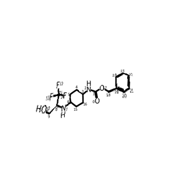 O=C(NC1CCC(N[C@@H](CO)C(F)(F)F)CC1)OCc1ccccc1